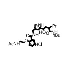 CCCCNC(=O)C(CC(O)C(N)CC(CNC(=O)c1ccccc1OCCNC(C)=O)C(C)C)C(C)C.Cl